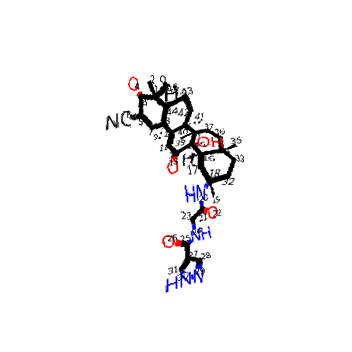 CC1(C)C(=O)C(C#N)=C[C@]2(C)C3=CC(=O)[C@]4(O)[C@@H]5C[C@@](C)(NC(=O)CNC(=O)c6cn[nH]c6)CC[C@@]5(C)CC[C@@]4(C)[C@]3(C)CC[C@@H]12